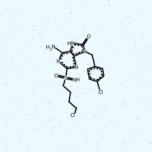 N=S(=O)(CCCCCl)c1nc(N)c2[nH]c(=O)n(Cc3ccc(Cl)cc3)c2n1